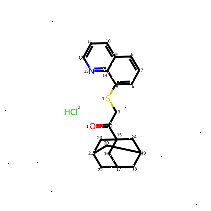 Cl.O=C(CSc1cccc2cccnc12)C12CC3CC(CC(C3)C1)C2